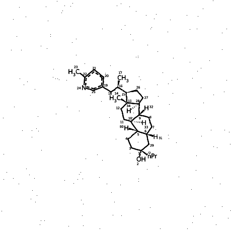 CCC[C@@]1(O)CC[C@H]2[C@H](CC[C@@H]3[C@@H]2CC[C@]2(C)[C@@H]([C@H](C)Cc4ccc(C)nc4)CC[C@@H]32)C1